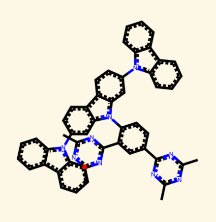 Cc1nc(C)nc(-c2ccc(-n3c4cc(-n5c6ccccc6c6ccccc65)ccc4c4ccc(-n5c6ccccc6c6ccccc65)cc43)c(-c3nc(C)nc(C)n3)c2)n1